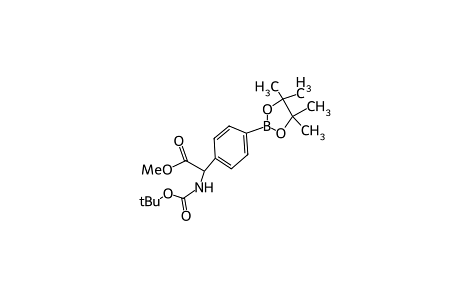 COC(=O)C(NC(=O)OC(C)(C)C)c1ccc(B2OC(C)(C)C(C)(C)O2)cc1